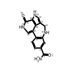 NC(=O)c1ccc2c(c1)NCc1c[nH]c3c(=O)[nH]cc-2c13